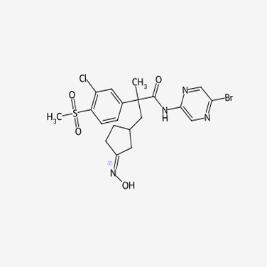 CC(CC1CC/C(=N/O)C1)(C(=O)Nc1cnc(Br)cn1)c1ccc(S(C)(=O)=O)c(Cl)c1